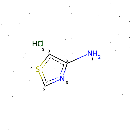 Cl.Nc1cscn1